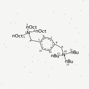 CCCCCCCC[N+](CCCCCCCC)(CCCCCCCC)Cc1ccc(C[N+](CCCC)(CCCC)CCCC)cc1